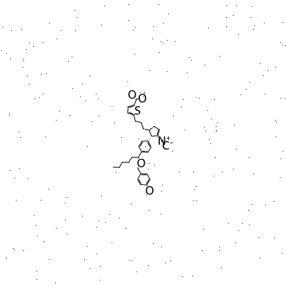 [C-]#[N+]C1=CCC(CCCc2ccc(C(=O)OC)s2)[C@H]1c1ccc(C(CCCCC)OCc2ccc(OC)cc2)cc1